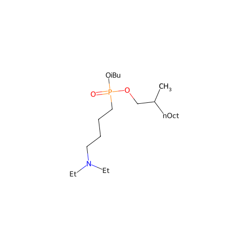 CCCCCCCCC(C)COP(=O)(CCCCN(CC)CC)OCC(C)C